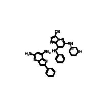 N#Cc1cnc2c(Nc3ccccc3)cc(N[C@H]3CCCNC3)nn12.Nc1cc(N)c2nc(-c3ccccc3)cn2n1